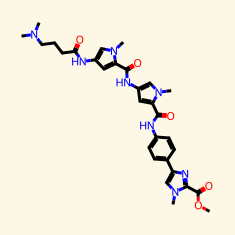 COC(=O)c1nc(-c2ccc(NC(=O)c3cc(NC(=O)c4cc(NC(=O)CCCN(C)C)cn4C)cn3C)cc2)cn1C